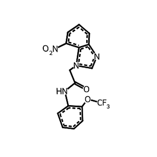 O=C(Cn1cnc2cccc([N+](=O)[O-])c21)Nc1ccccc1OC(F)(F)F